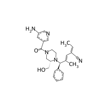 C/C=C(C#N)\C=C(/C)[C@@H](c1ccccc1)N1CCN(C(=O)c2cncc(N)c2)C[C@H]1CO